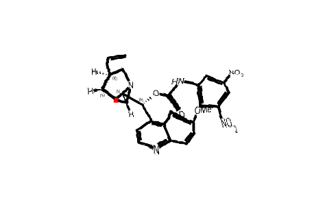 C=C[C@H]1CN2CC[C@H]1C[C@H]2[C@H](OC(=O)Nc1cc([N+](=O)[O-])cc([N+](=O)[O-])c1)c1ccnc2ccc(OC)cc12